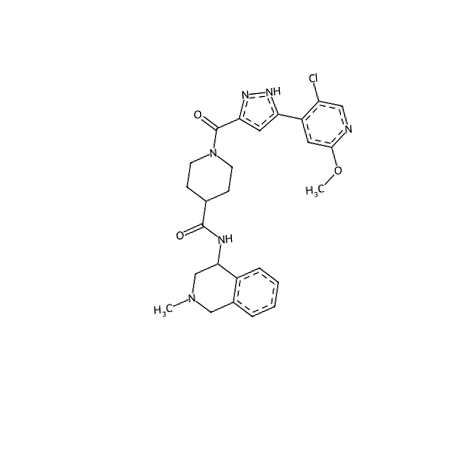 COc1cc(-c2cc(C(=O)N3CCC(C(=O)NC4CN(C)Cc5ccccc54)CC3)n[nH]2)c(Cl)cn1